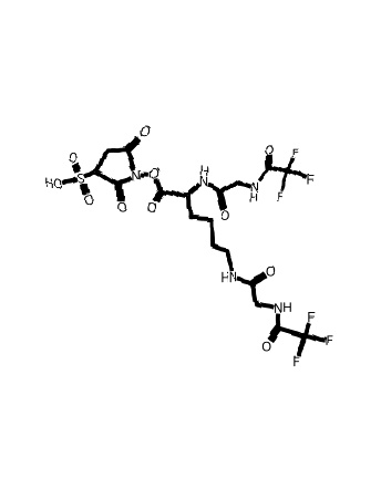 O=C(CNC(=O)C(F)(F)F)NCCCCC(NC(=O)CNC(=O)C(F)(F)F)C(=O)ON1C(=O)CC(S(=O)(=O)O)C1=O